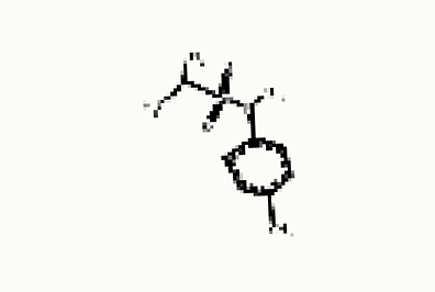 Cc1ccc(N(C)S(=O)(=O)C(C)C)cc1